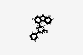 Cc1nc(-c2ccccc2)nc(-c2cccc3c2-c2ccccc2C3)n1